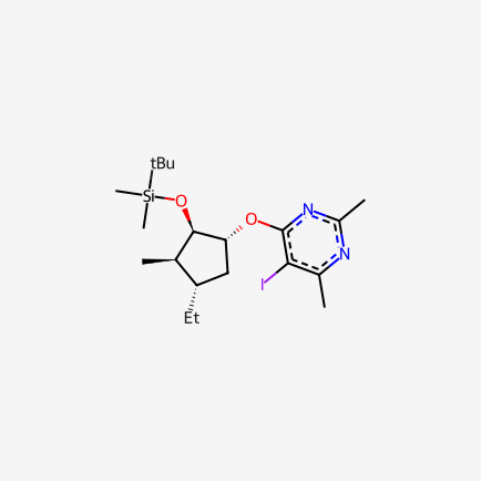 CC[C@H]1C[C@@H](Oc2nc(C)nc(C)c2I)[C@H](O[Si](C)(C)C(C)(C)C)[C@@H]1C